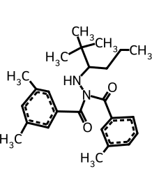 CCCC(NN(C(=O)c1cccc(C)c1)C(=O)c1cc(C)cc(C)c1)C(C)(C)C